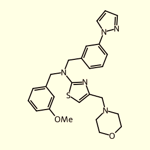 COc1cccc(CN(Cc2cccc(-n3cccn3)c2)c2nc(CN3CCOCC3)cs2)c1